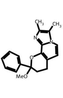 COC1(c2ccccc2)CCc2ccn3c(C)c(C)nc3c2O1